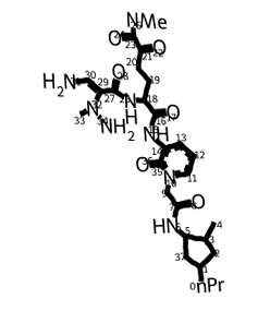 CCCC1CC(C)C(NC(=O)Cn2cccc(NC(=O)C(CCC(=O)C(=O)NC)NC(=O)/C(=C/N)N(C)N)c2=O)C1